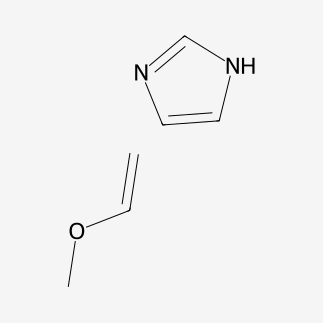 C=COC.c1c[nH]cn1